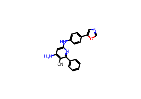 N#Cc1c(N)cc(Nc2ccc(-c3cnco3)cc2)nc1-c1ccccc1